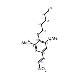 COc1cc(/C=C/[N+](=O)[O-])cc(OC)c1SCCCCF